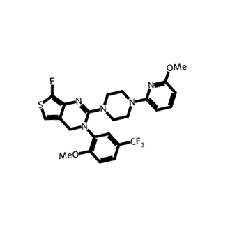 COc1cccc(N2CCN(C3=Nc4c(csc4F)CN3c3cc(C(F)(F)F)ccc3OC)CC2)n1